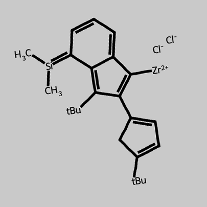 C[Si](C)=c1cccc2c1=C(C(C)(C)C)C(C1=CC=C(C(C)(C)C)C1)=[C]2[Zr+2].[Cl-].[Cl-]